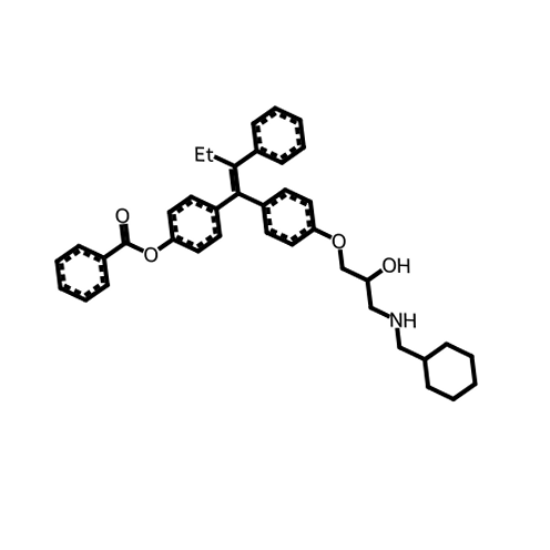 CCC(=C(c1ccc(OCC(O)CNCC2CCCCC2)cc1)c1ccc(OC(=O)c2ccccc2)cc1)c1ccccc1